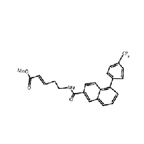 COC(=O)/C=C/CCNC(=O)c1ccc2c(-c3ccc(C(F)(F)F)cc3)cccc2c1